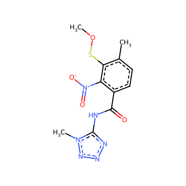 COSc1c(C)ccc(C(=O)Nc2nnnn2C)c1[N+](=O)[O-]